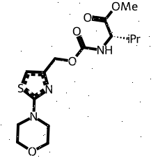 COC(=O)[C@@H](NC(=O)OCc1csc(N2CCOCC2)n1)C(C)C